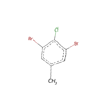 Cc1cc(Br)c(Cl)c(Br)c1